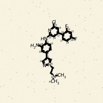 CN(C)CCn1cc(-c2ccc(Nc3cc(-c4ccc(F)cc4F)cc(Cl)n3)c(N)c2)cn1